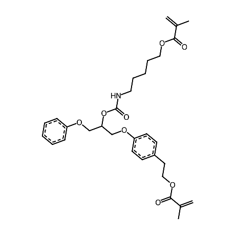 C=C(C)C(=O)OCCCCCNC(=O)OC(COc1ccccc1)COc1ccc(CCOC(=O)C(=C)C)cc1